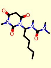 CCCCCC(N(C)C(=O)N(C)C)N1C(=O)CC(=O)N(C)C1=O